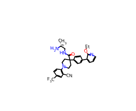 CCOc1ncccc1-c1ccc(C2(C(=O)NC[C@@H](C)N)CCN(c3ccc(C(F)(F)F)cc3C#N)CC2)cc1